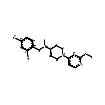 CSc1nccc(N2CCC(N(C)Cc3ccc(Cl)cc3Cl)CC2)n1